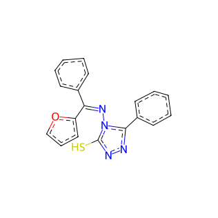 Sc1nnc(-c2ccccc2)n1N=C(c1ccccc1)c1ccco1